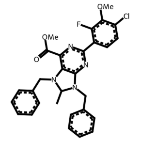 COC(=O)c1nc(-c2ccc(Cl)c(OC)c2F)nc2c1N(Cc1ccccc1)C(C)N2Cc1ccccc1